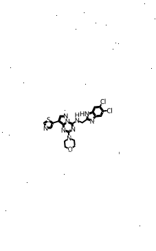 Clc1cc2nc(CNc3nc(N4CCOCC4)nc4c(-c5cncs5)cnn34)[nH]c2cc1Cl